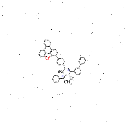 CCC(/C=C(\C)c1ccccc1)/C(=C\C(c1ccc(-c2ccc3c4ccccc4c4cccc5oc2c3c54)cc1)C(C)CC)c1cccc(-c2ccccc2)c1